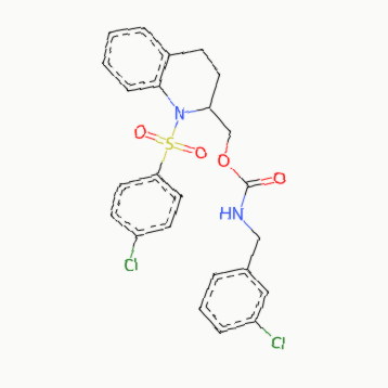 O=C(NCc1cccc(Cl)c1)OCC1CCc2ccccc2N1S(=O)(=O)c1ccc(Cl)cc1